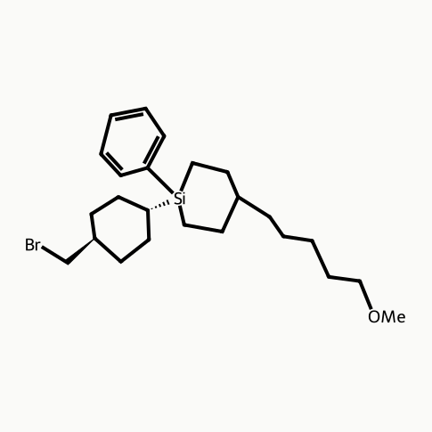 COCCCCCC1CC[Si](c2ccccc2)([C@H]2CC[C@H](CBr)CC2)CC1